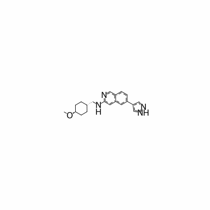 CO[C@H]1CC[C@H](CNc2cc3cc(-c4cn[nH]c4)ccc3cn2)CC1